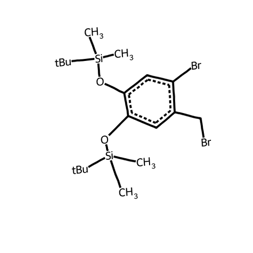 CC(C)(C)[Si](C)(C)Oc1cc(Br)c(CBr)cc1O[Si](C)(C)C(C)(C)C